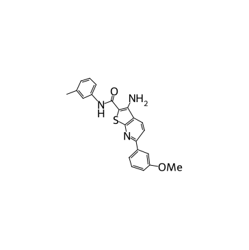 COc1cccc(-c2ccc3c(N)c(C(=O)Nc4cccc(C)c4)sc3n2)c1